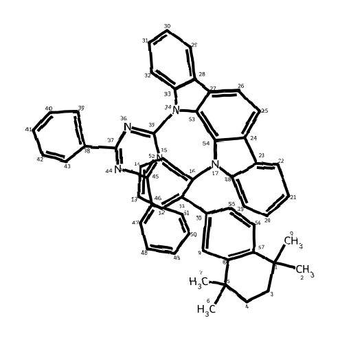 CC1(C)CCC(C)(C)c2cc(-c3ccccc3-n3c4ccccc4c4ccc5c6ccccc6n(-c6nc(-c7ccccc7)nc(-c7ccccc7)n6)c5c43)ccc21